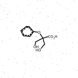 O=C(O)C(CO)(CO)Oc1ccccc1